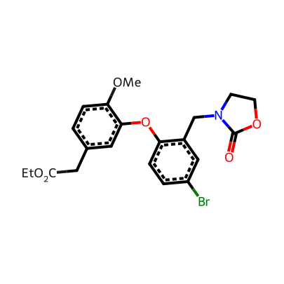 CCOC(=O)Cc1ccc(OC)c(Oc2ccc(Br)cc2CN2CCOC2=O)c1